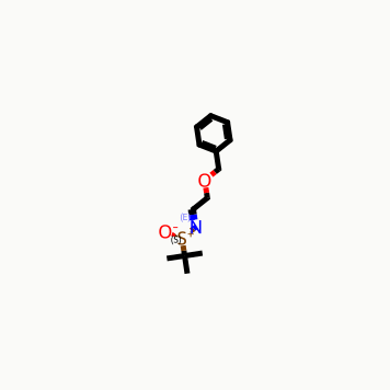 CC(C)(C)[S@@+]([O-])/N=C/COCc1ccccc1